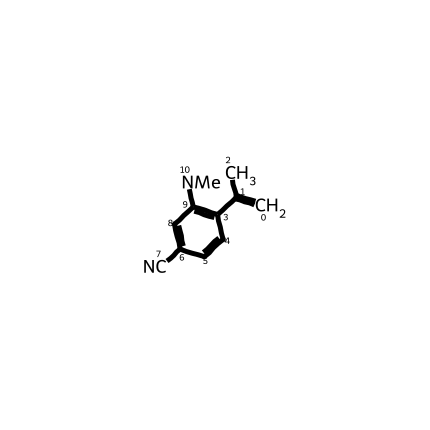 C=C(C)c1ccc(C#N)cc1NC